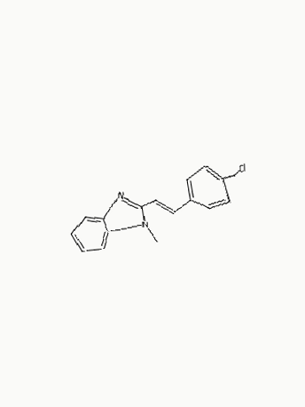 Cn1c(C=Cc2ccc(Cl)cc2)nc2ccccc21